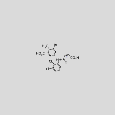 Cc1c(Br)cccc1C(=O)O.O=C(O)/C=C\C(=O)Nc1cccc(Cl)c1Cl